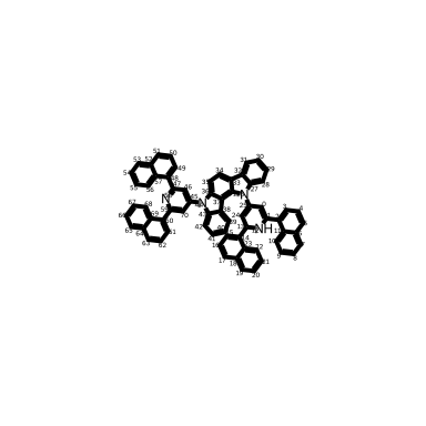 C1=C(c2cccc3ccccc23)NC(c2cccc3ccccc23)C=C1n1c2ccccc2c2ccc3c(c4ccccc4n3-c3cc(-c4cccc5ccccc45)nc(-c4cccc5ccccc45)c3)c21